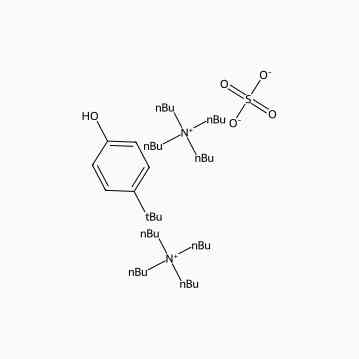 CC(C)(C)c1ccc(O)cc1.CCCC[N+](CCCC)(CCCC)CCCC.CCCC[N+](CCCC)(CCCC)CCCC.O=S(=O)([O-])[O-]